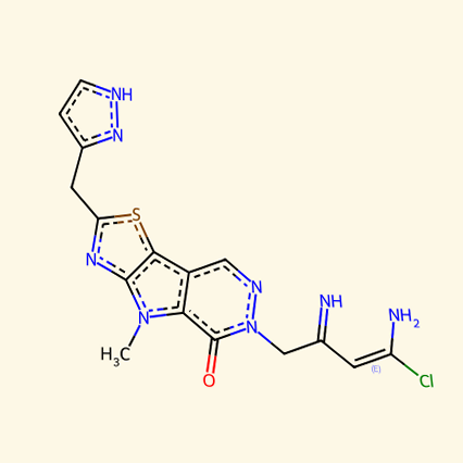 Cn1c2nc(Cc3cc[nH]n3)sc2c2cnn(CC(=N)/C=C(\N)Cl)c(=O)c21